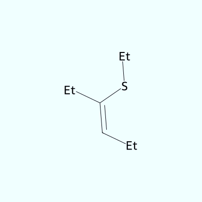 [CH2]CC=C(CC)SCC